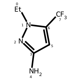 CCn1nc(N)cc1C(F)(F)F